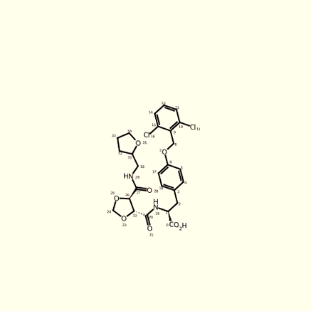 O=C(O)[C@H](Cc1ccc(OCc2c(Cl)cccc2Cl)cc1)NC(=O)[C@@H]1OCO[C@H]1C(=O)NCC1CCCO1